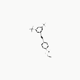 CCS(=O)(=O)c1ccc(C#Cc2cc(C(C)(C)C)cc(C(C)(C)C)c2)cc1